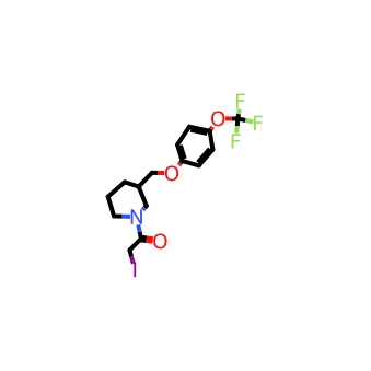 O=C(CI)N1CCCC(COc2ccc(OC(F)(F)F)cc2)C1